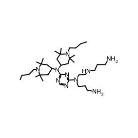 CCCCN1C(C)(C)CC(N(c2ncnc(N(CCCN)CCNCCCN)n2)C2CC(C)(C)N(CCCC)C(C)(C)C2)CC1(C)C